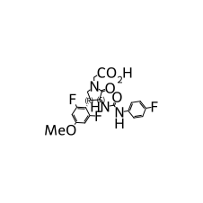 COc1cc(F)c([C@@H]2CN(CC(=O)O)C(=O)[C@H]2NC(=O)Nc2ccc(F)cc2)c(F)c1